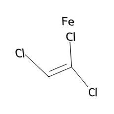 ClC=C(Cl)Cl.[Fe]